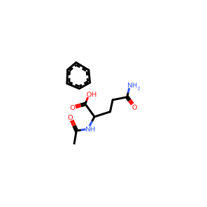 CC(=O)NC(CCC(N)=O)C(=O)O.c1ccccc1